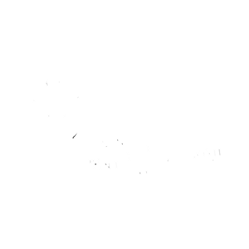 CC(=O)NS(=O)(CCCC(=O)O)=NC(=O)O[C@@H](C)c1ccccc1